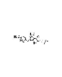 CCOC(=O)c1cnc2c(c(C)nn2Cc2ccc(C)nn2)c1Cl